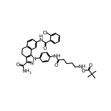 CC(C)(C)C(=O)ONCCCCC(=O)Nc1ccc(-n2nc(C(N)=O)c3c2-c2cc(NC(=O)c4ccccc4Cl)ccc2CC3)cc1